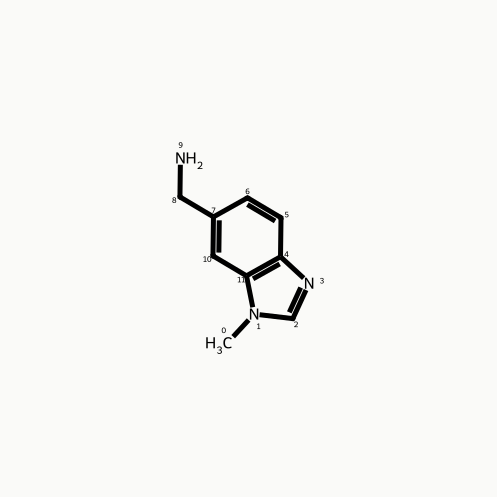 Cn1cnc2ccc(CN)cc21